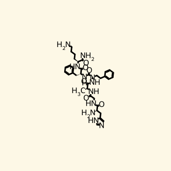 C[C@H](NC(=O)CNC(=O)[C@@H](N)Cc1cnc[nH]1)C(=O)NN(CCc1ccccc1)C(=O)N[C@H](Cc1ccccc1)C(=O)N[C@@H](CCCCN)C(N)=O